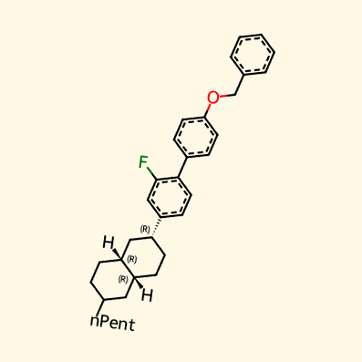 CCCCCC1CC[C@@H]2C[C@H](c3ccc(-c4ccc(OCc5ccccc5)cc4)c(F)c3)CC[C@@H]2C1